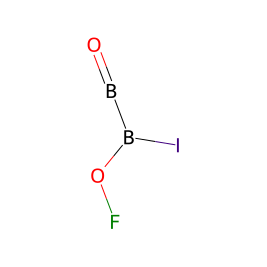 O=BB(I)OF